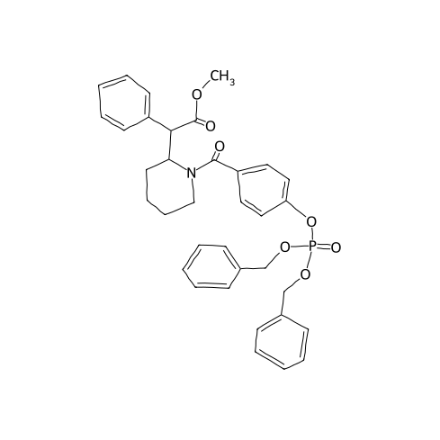 COC(=O)C(c1ccccc1)C1CCCCN1C(=O)c1ccc(OP(=O)(OCc2ccccc2)OCc2ccccc2)cc1